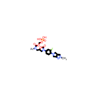 CC(=O)N(CC1CN(c2ccc(N3Cc4cn(C)nc4C3)c(F)c2)C(=O)O1)C(=O)OCOP(=O)(O)O